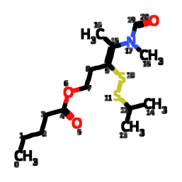 CCCCC(=O)OCC/C(SSC(C)C)=C(\C)N(C)C=O